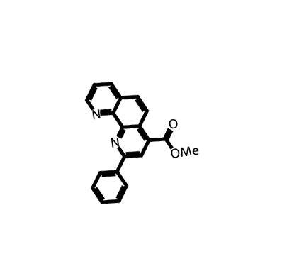 COC(=O)c1cc(-c2ccccc2)nc2c1ccc1cccnc12